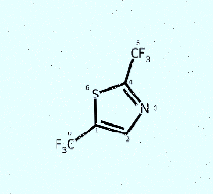 FC(F)(F)c1cnc(C(F)(F)F)s1